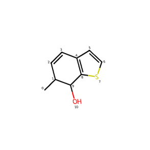 CC1C=Cc2ccsc2C1O